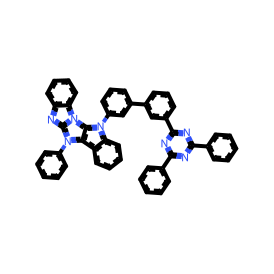 c1ccc(-c2nc(-c3ccccc3)nc(-c3cccc(-c4cccc(-n5c6ccccc6c6c5n5c7ccccc7nc5n6-c5ccccc5)c4)c3)n2)cc1